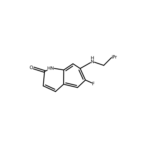 CC(C)CNc1cc2[nH]c(=O)ccc2cc1F